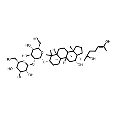 C/C(O)=C\CCC(C)(O)[C@H]1CC[C@]2(C)[C@@H]1[C@H](O)C[C@@H]1[C@@]3(C)CC[C@H](O[C@H]4O[C@H](CO)[C@@H](O)[C@H](O)[C@H]4O[C@@H]4O[C@H](CO)[C@@H](O)[C@H](O)[C@H]4O)C(C)(C)[C@@H]3CC[C@]12C